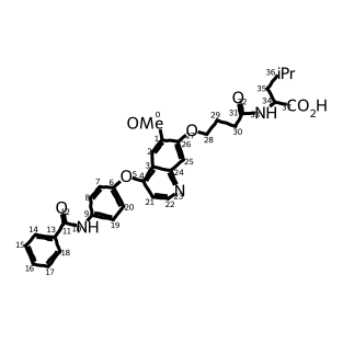 COc1cc2c(Oc3ccc(NC(=O)c4ccccc4)cc3)ccnc2cc1OCCCC(=O)NC(CC(C)C)C(=O)O